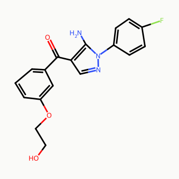 Nc1c(C(=O)c2cccc(OCCO)c2)cnn1-c1ccc(F)cc1